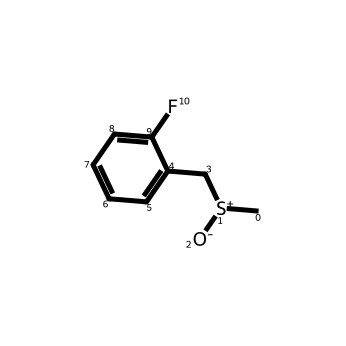 C[S+]([O-])Cc1ccccc1F